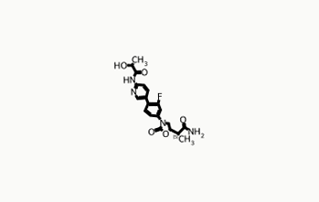 CC(O)C(=O)Nc1ccc(-c2ccc(N3CC([C@H](C)C(N)=O)OC3=O)cc2F)cn1